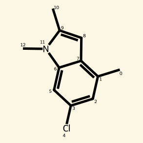 Cc1cc(Cl)cc2c1cc(C)n2C